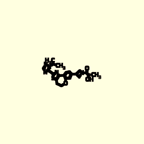 CC(C)n1ncnc1-c1nc2c(s1)CCOc1cc(C3CN(C(=O)[C@H](C)O)C3)ccc1-2